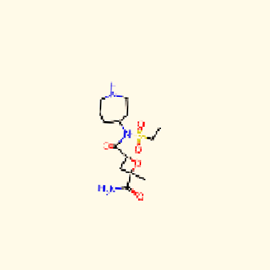 CCS(=O)(=O)N(C(=O)[C]1C[C@@](C)(C(N)=O)O1)C1CCCNCC1